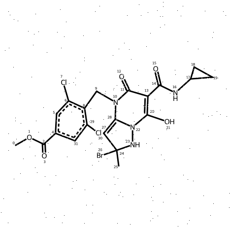 COC(=O)c1cc(Cl)c(CN2C(=O)C(C(=O)NC3CC3)=C(O)N3NC(C)(Br)C=C23)c(Cl)c1